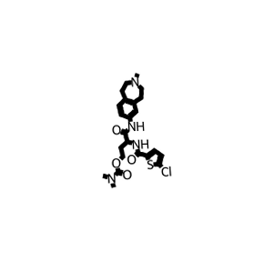 CN1CCc2ccc(NC(=O)C(CCOC(=O)N(C)C)NC(=O)c3ccc(Cl)s3)cc2CC1